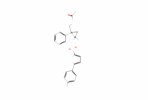 CC(C)C(=O)NCC1(c2ccccc2)CC1(NS(=O)(=O)c1ccc(-c2ccc(Cl)cc2)s1)C(=O)O